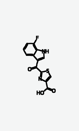 O=C(O)c1csc(C(=O)c2c[nH]c3c(F)cccc23)n1